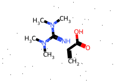 C=CC(=O)O.CN(C)C(=N)N(C)C